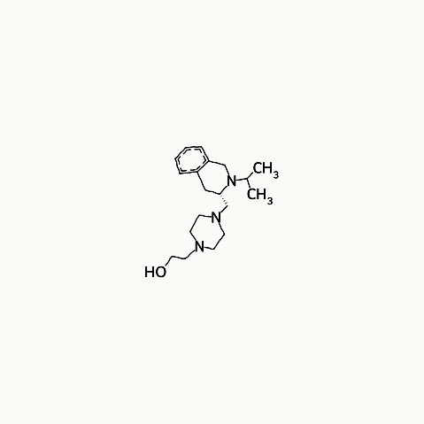 CC(C)N1Cc2ccccc2C[C@H]1CN1CCN(CCO)CC1